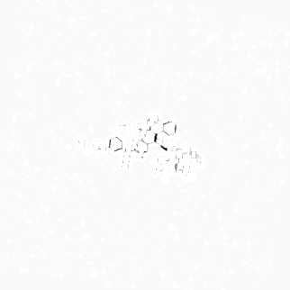 COc1cccc(Nc2ncc3c(C#C[Si](C(C)C)(C(C)C)C(C)C)c(-c4ccccc4Cl)c(=O)n(C)c3n2)c1